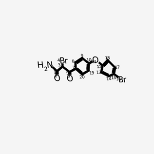 NC(=O)C(Br)C(=O)c1ccc(Oc2ccc(Br)cc2)cc1